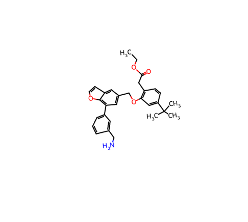 CCOC(=O)Cc1ccc(C(C)(C)C)cc1OCc1cc(-c2cccc(CN)c2)c2occc2c1